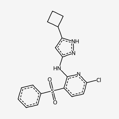 O=S(=O)(c1ccccc1)c1ccc(Cl)nc1Nc1cc(C2CCC2)[nH]n1